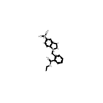 CCOC(=O)c1ccccc1CN1CCc2cc([N+](=O)[O-])ccc21